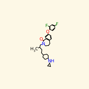 CC(CCC1CCC(NC2CC2)CC1)CN1CCCc2ccc(Oc3ccc(F)cc3F)cc2C1=O